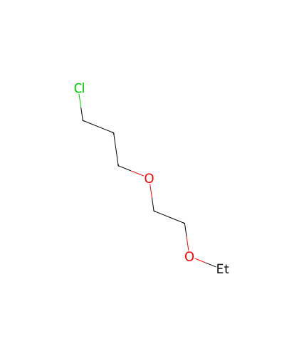 CCOCCOCCCCl